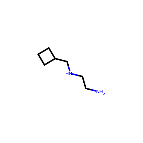 NCCNCC1CCC1